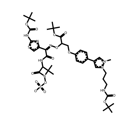 C[n+]1cc(-c2ccc(OCC(O/N=C(\C(=O)NC3C(=O)N(OS(=O)(=O)[O-])C3(C)C)c3csc(NC(=O)OC(C)(C)C)n3)C(=O)OC(C)(C)C)cc2)cn1CCCNC(=O)OC(C)(C)C